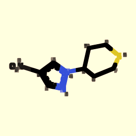 O=[N+]([O-])c1cnn(C2CCSCC2)c1